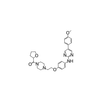 COc1ccc(-c2cnc(Nc3ccc(OCCN4CCN(C(=O)C5CCCO5)CC4)cc3)nc2)cc1